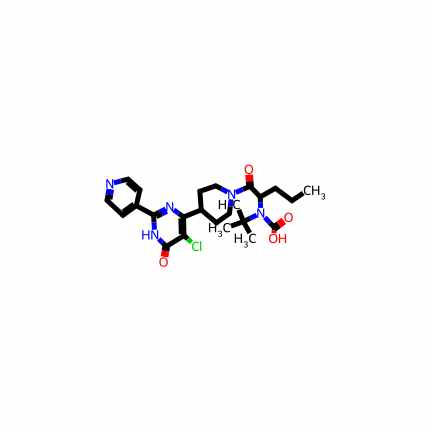 CCCC(C(=O)N1CCC(c2nc(-c3ccncc3)[nH]c(=O)c2Cl)CC1)N(C(=O)O)C(C)(C)C